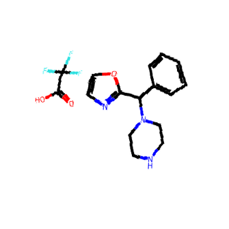 O=C(O)C(F)(F)F.c1ccc(C(c2ncco2)N2CCNCC2)cc1